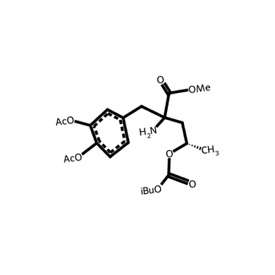 COC(=O)C(N)(Cc1ccc(OC(C)=O)c(OC(C)=O)c1)C[C@H](C)OC(=O)OCC(C)C